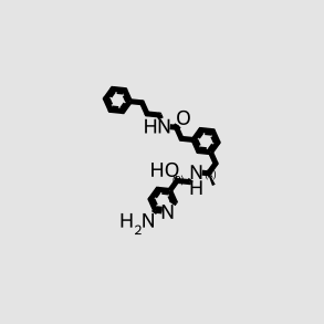 C[C@H](Cc1cccc(CC(=O)NCCCc2ccccc2)c1)NC[C@H](O)c1ccc(N)nc1